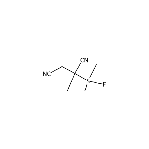 CC(C#N)(CC#N)S(C)(C)F